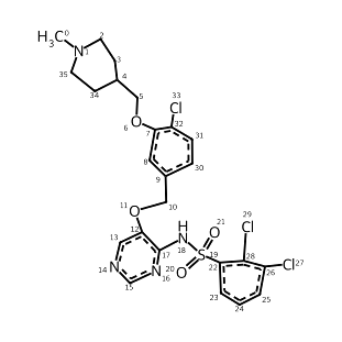 CN1CCC(COc2cc(COc3cncnc3NS(=O)(=O)c3cccc(Cl)c3Cl)ccc2Cl)CC1